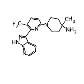 CC1(N)CCN(c2ccc(C(F)(F)F)c(-c3n[nH]c4ncccc34)n2)CC1